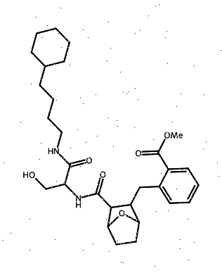 COC(=O)c1ccccc1CC1C2CCC(O2)C1C(=O)NC(CO)C(=O)NCCCCC1CCCCC1